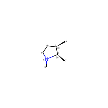 C[C@@H]1CCN(C)[C@@H]1C